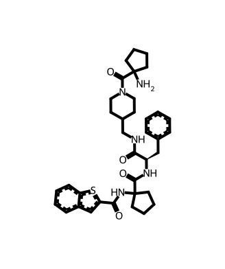 NC1(C(=O)N2CCC(CNC(=O)[C@@H](Cc3ccccc3)NC(=O)C3(NC(=O)c4cc5ccccc5s4)CCCC3)CC2)CCCC1